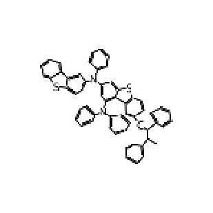 CC(c1ccccc1)C(Cc1ccc2sc3cc(N(c4ccccc4)c4ccc5sc6ccccc6c5c4)cc(N(c4ccccc4)c4ccccc4)c3c2c1)c1ccccc1